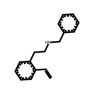 C=Cc1ccccc1CCNCc1ccccc1